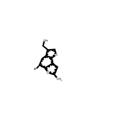 Cc1cc2c(o1)c(Br)cc1c(CO)coc12